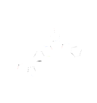 COC1CC(C(=O)Nc2ccc(-c3c[nH]cc3OC(=O)O)cc2F)N(C(=O)Nc2ccc(Cl)cc2)C1